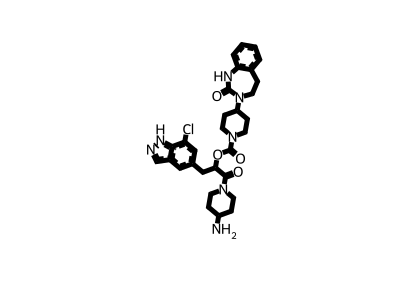 NC1CCN(C(=O)C(Cc2cc(Cl)c3[nH]ncc3c2)OC(=O)N2CCC(N3CCc4ccccc4NC3=O)CC2)CC1